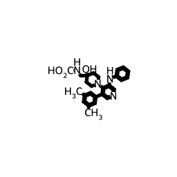 Cc1cc(C)cc(-c2cncc(Nc3ccccc3)c2N2CCC(O)(CNC(=O)O)CC2)c1